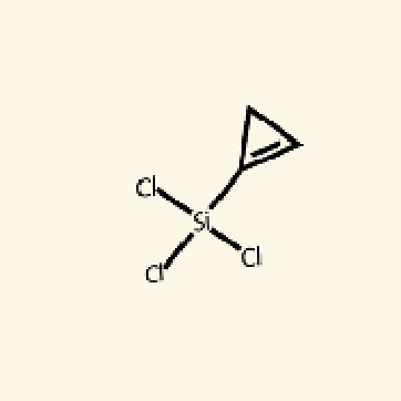 Cl[Si](Cl)(Cl)C1=CC1